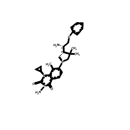 Cc1c(N2C[C@H]([C@H](N)COc3ccccc3)C(C)(C)C2)ccc2c(=O)n(N)c(=O)n(C3CC3)c12